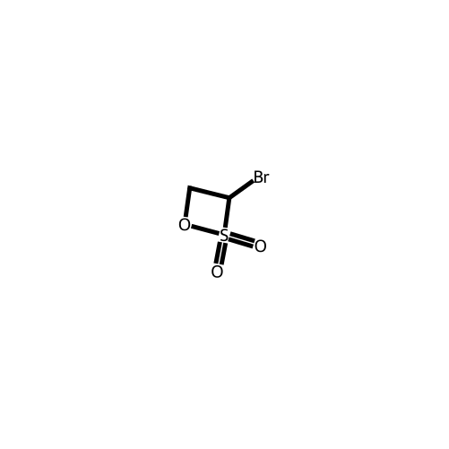 O=S1(=O)OCC1Br